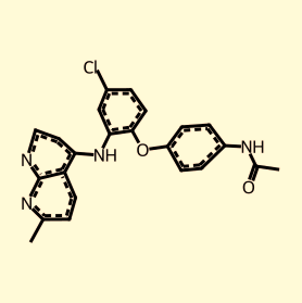 CC(=O)Nc1ccc(Oc2ccc(Cl)cc2Nc2ccnc3nc(C)ccc23)cc1